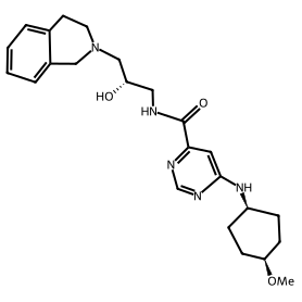 CO[C@H]1CC[C@@H](Nc2cc(C(=O)NC[C@H](O)CN3CCc4ccccc4C3)ncn2)CC1